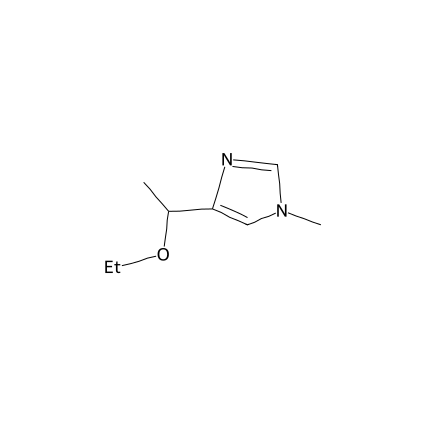 CCOC(C)c1cn(C)cn1